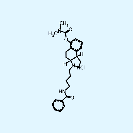 CN(C)C(=O)Oc1cccc2c1CC[C@@H]1[C@H]2CCN1CCCCNC(=O)c1ccccc1.Cl